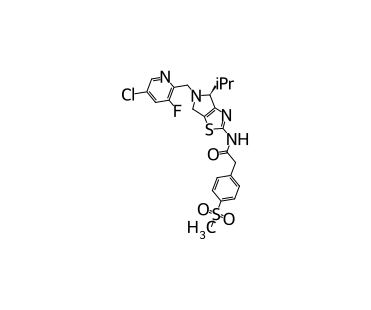 CC(C)[C@H]1c2nc(NC(=O)Cc3ccc(S(C)(=O)=O)cc3)sc2CN1Cc1ncc(Cl)cc1F